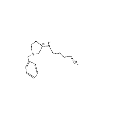 C=CCCCN[C@@H]1CCN(Cc2ccccc2)C1